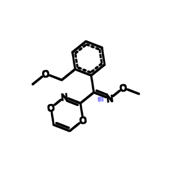 COCc1ccccc1/C(=N\OC)C1=NOC=CO1